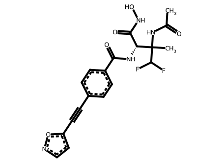 CC(=O)NC(C)(C(F)F)[C@H](NC(=O)c1ccc(C#Cc2ccno2)cc1)C(=O)NO